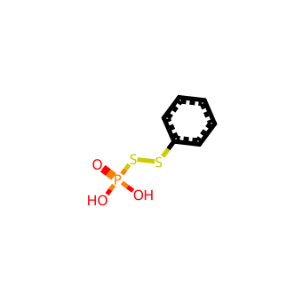 O=P(O)(O)SSc1ccccc1